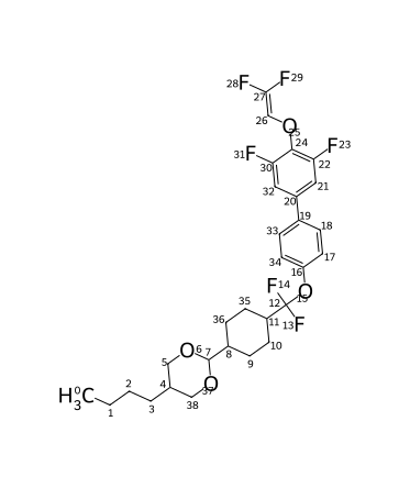 CCCCC1COC(C2CCC(C(F)(F)Oc3ccc(-c4cc(F)c(OC=C(F)F)c(F)c4)cc3)CC2)OC1